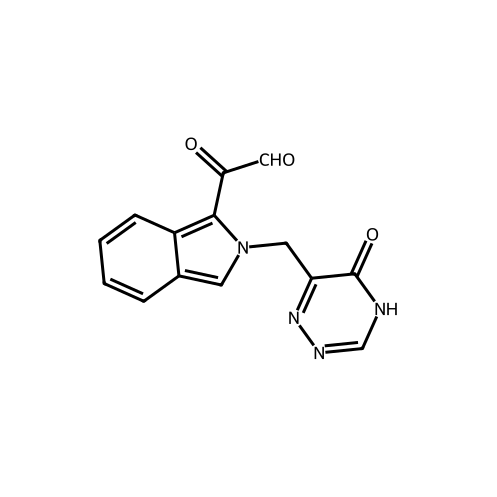 O=CC(=O)c1c2ccccc2cn1Cc1nnc[nH]c1=O